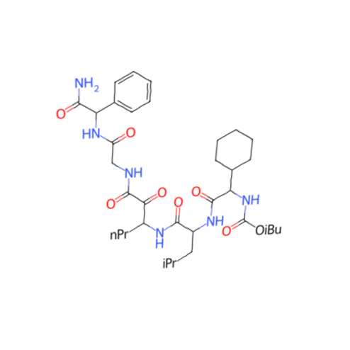 CCCC(NC(=O)C(CC(C)C)NC(=O)C(NC(=O)OCC(C)C)C1CCCCC1)C(=O)C(=O)NCC(=O)NC(C(N)=O)c1ccccc1